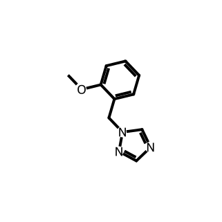 COc1ccccc1Cn1cncn1